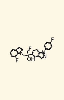 OC(CF)(Cn1ccc2cccc(F)c21)c1ccc2c(cnn2-c2ccc(F)cc2)c1